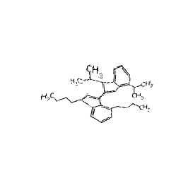 CCCCc1cccc2c1C(C1=Cc3c(C(C)C)cccc3C1C(C)C)=[C]C2CCCC